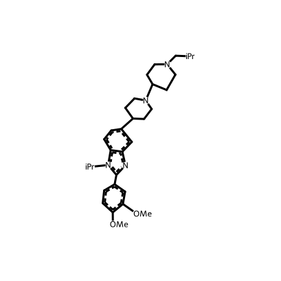 COc1ccc(-c2nc3cc(C4CCN(C5CCN(CC(C)C)CC5)CC4)ccc3n2C(C)C)cc1OC